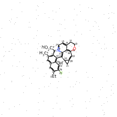 CCc1cc2cc(C)c(CC(=O)O)c(C3=c4nccc5c4=C(C=C4C[C@H]43)OCC5)c2cc1F